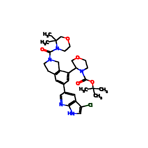 CC(C)(C)OC(=O)N1CCOCC1c1cc(-c2cnc3[nH]cc(Cl)c3c2)cc2c1CN(C(=O)N1CCOCC1(C)C)CC2